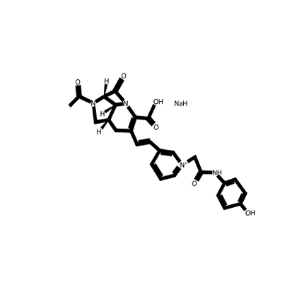 CC(=O)N1C[C@H]2CC(/C=C/c3ccc[n+](CC(=O)Nc4ccc(O)cc4)c3)=C(C(=O)O)N3C(=O)[C@@H]1[C@@H]23.[NaH]